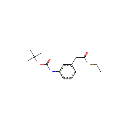 CCSC(=O)Cc1cccc(NC(=O)OC(C)(C)C)c1